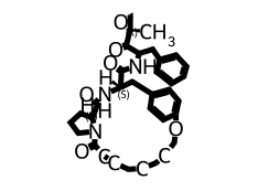 C[C@]1(C(=O)C(Cc2ccccc2)NC(=O)[C@@H]2Cc3ccc(cc3)OCCCCCCCC(=O)N3CCC[C@H]3C(=O)N2)CO1